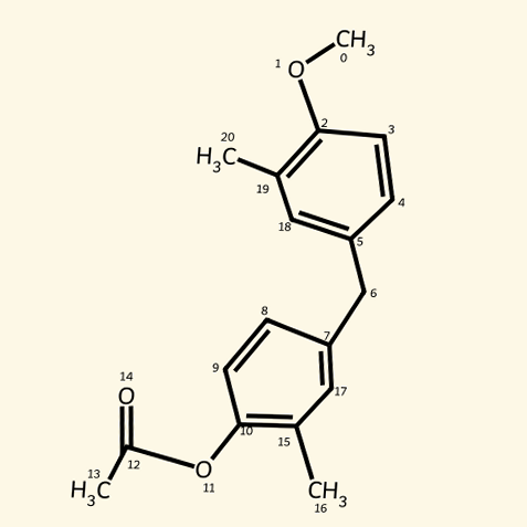 COc1ccc(Cc2ccc(OC(C)=O)c(C)c2)cc1C